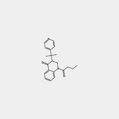 CCCC(=O)N1CC(C(C)(C)c2ccncc2)C(=O)c2ccccc21